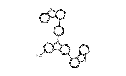 Cc1ccc2c(c1)c1cc(-c3cccc4sc5ccccc5c34)ccc1n2-c1ccc(-c2cccc3sc4ccccc4c23)cc1